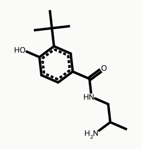 CC(N)CNC(=O)c1ccc(O)c(C(C)(C)C)c1